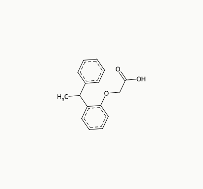 CC(c1ccccc1)c1ccccc1OCC(=O)O